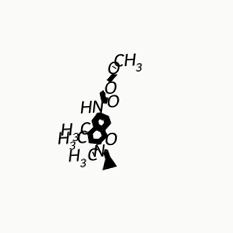 COCCOCC(=O)Nc1ccc2c(c1)C(C)(C)CC(N(C)CC1CC1)C2=O